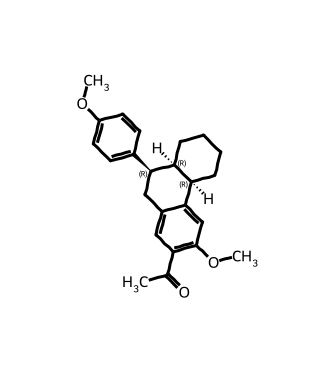 COc1ccc([C@@H]2Cc3cc(C(C)=O)c(OC)cc3[C@@H]3CCCC[C@H]23)cc1